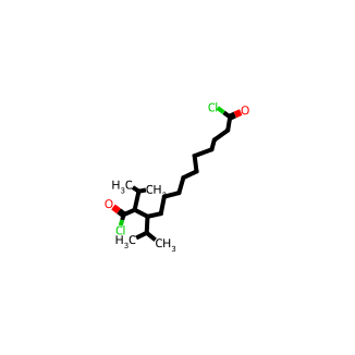 CC(C)C(CCCCCCCCCC(=O)Cl)C(C(=O)Cl)C(C)C